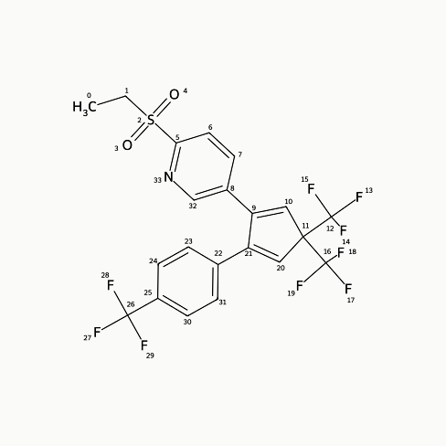 CCS(=O)(=O)c1ccc(C2=CC(C(F)(F)F)(C(F)(F)F)C=C2c2ccc(C(F)(F)F)cc2)cn1